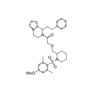 COc1cc(C)c(S(=O)(=O)N2CCCCC2COCC(=O)N2CCn3cccc3C2CCc2ccccc2)c(C)c1